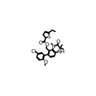 CCC1=CCC(C(=O)OCc2c(-c3cc(Cl)ccc3OC)ccc3c2N(C)C(=O)C(C)(C)N3)S1